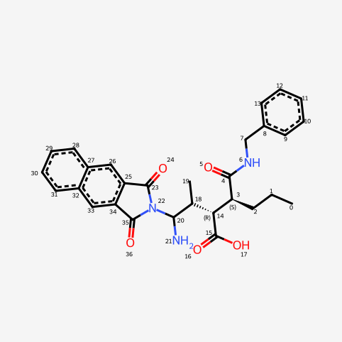 CCC[C@H](C(=O)NCc1ccccc1)[C@H](C(=O)O)C(C)C(N)N1C(=O)c2cc3ccccc3cc2C1=O